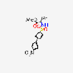 COC(=O)C(NS(=O)(=O)c1ccc(-c2ccc([N+](=O)[O-])cc2)cc1)C(C)C